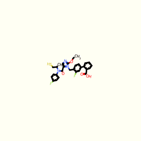 CCOc1ncc(C(=O)N(c2ccc(F)cc2)C(C)CS)n1Cc1ccc(-c2ccccc2C(=O)O)cc1F